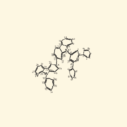 c1ccc(-c2cc(-n3c4ccccc4c4ccc(-c5ccc6c(c5)c5cccnc5n6-c5ccccc5)cc43)cc(-c3ccccc3)n2)cc1